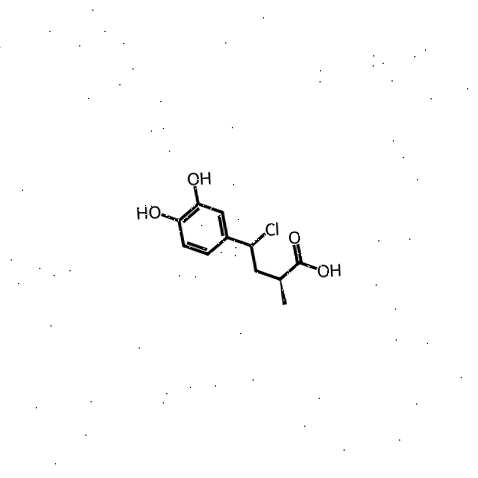 C[C@@H](CC(Cl)c1ccc(O)c(O)c1)C(=O)O